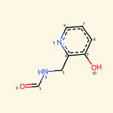 O=CNCc1ncccc1O